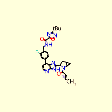 C/C=C/C(=O)N1C(c2nc3c(-c4ccc(CNC(=O)c5nc(C(C)(C)C)no5)c(F)c4)ccnc3[nH]2)CC2CC21